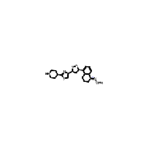 CO/N=C1\CCCc2c1cccc2C1CC(c2csc(C3CCNCC3)n2)=NO1